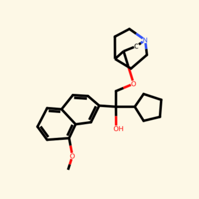 COc1cccc2ccc(C(O)(COC3CN4CCC3CC4)C3CCCC3)cc12